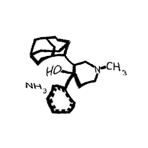 CN1CCC(O)(c2ccccc2)C(C2C3CC4CC(C3)CC2C4)C1.N